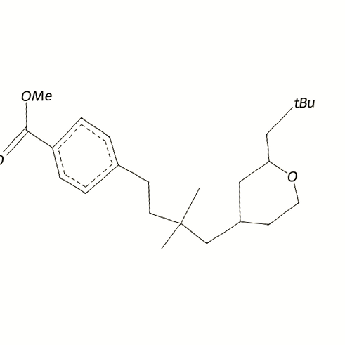 COC(=O)c1ccc(CCC(C)(C)CC2CCOC(CC(C)(C)C)C2)cc1